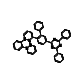 C1=CB2c3ccccc3N3C=CC=CB3N2C(c2ccc(-c3nc(-c4ccccc4)nc(-c4ccccc4)n3)cc2-c2ccccc2)=C1